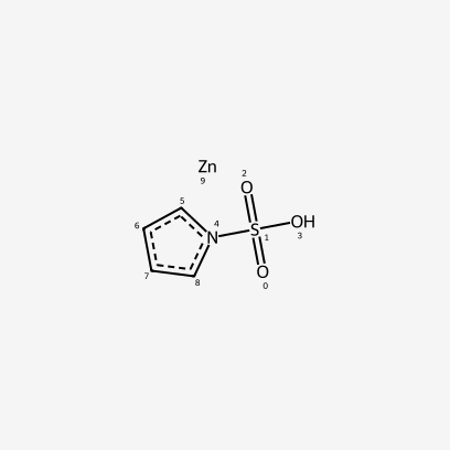 O=S(=O)(O)n1cccc1.[Zn]